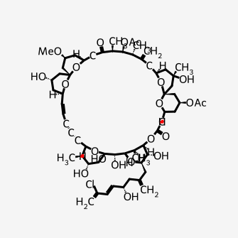 C=C(Cl)/C=C/[C@@H](O)CC(=C)C[C@H]1O[C@@H]2[C@H](C)[C@@H](OC(=O)C[C@@H]3C[C@H](OC(C)=O)C[C@@]4(C[C@@](C)(O)C[C@H](CC(=C)[C@@H](C)[C@H](OC(C)=O)[C@H](C)C(=O)C[C@@H]5C[C@H](OC)C[C@@]6(C[C@@H](O)C[C@H](/C=C\CCC[C@H]7O[C@](O)(C[C@H](O)[C@H]7C)[C@H]2O)O6)O5)O4)O3)[C@@H]1O